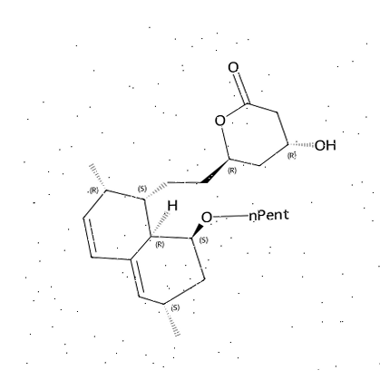 CCCCCO[C@H]1C[C@H](C)C=C2C=C[C@H](C)[C@H](CC[C@@H]3C[C@@H](O)CC(=O)O3)[C@H]21